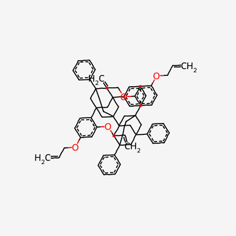 C=CCOc1ccc(C23CC4(c5ccccc5)CC(c5ccccc5)(C2)CC(C25CC6(c7ccccc7)CC(c7ccccc7)(CC(c7ccc(OCC=C)cc7OCC=C)(C6)C2)C5)(C4)C3)c(OCC=C)c1